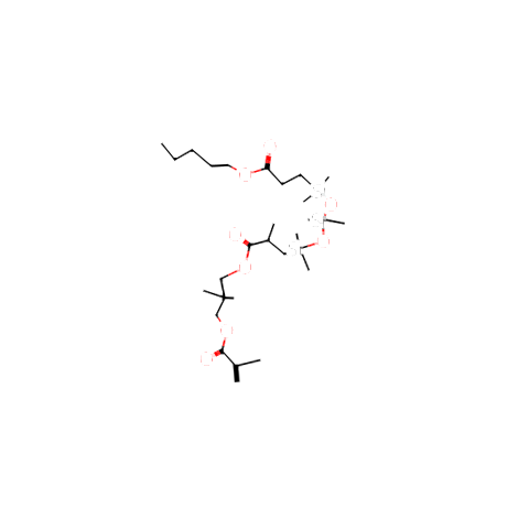 C=C(C)C(=O)OCC(C)(C)COC(=O)C(C)C[Si](C)(C)O[Si](C)(C)O[Si](C)(C)CCC(=O)OCCCCC